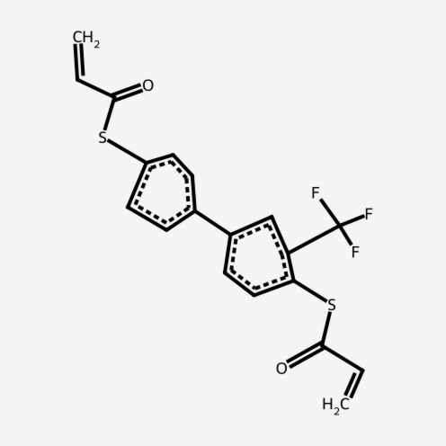 C=CC(=O)Sc1ccc(-c2ccc(SC(=O)C=C)c(C(F)(F)F)c2)cc1